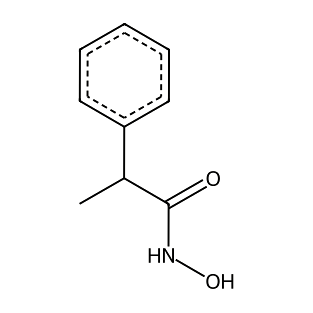 CC(C(=O)NO)c1ccccc1